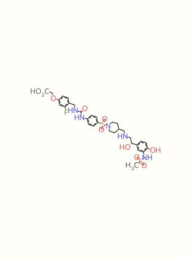 CS(=O)(=O)Nc1cc([C@H](O)CNCC2CCN(S(=O)(=O)c3ccc(NC(=O)NCc4ccc(OCC(=O)O)cc4F)cc3)CC2)ccc1O